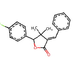 CC1(C)/C(=C\c2ccccc2)C(=O)OC1c1ccc(F)cc1